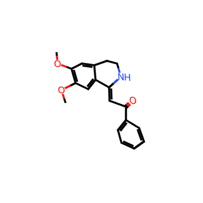 COc1cc2c(cc1OC)C(=CC(=O)c1ccccc1)NCC2